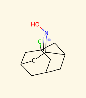 O/N=C1\CC2CC3CC1CC(Cl)(C2)C3